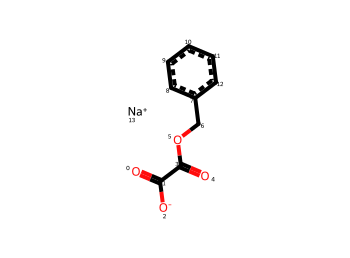 O=C([O-])C(=O)OCc1ccccc1.[Na+]